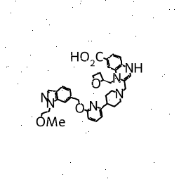 COCCn1ncc2ccc(COc3cccc(C4CCN(CC5=CNc6ccc(C(=O)O)cc6N5C[C@@H]5CCO5)CC4)n3)cc21